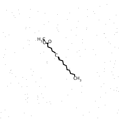 CCCCCCCC/C=C/CCCCCC(=O)OC